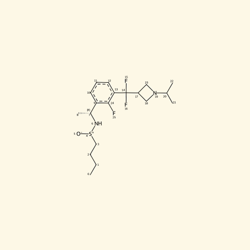 CCCC[S+]([O-])N[C@H](C)c1cccc(C(F)(F)C2CN(C(C)C)C2)c1F